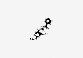 COc1ncc(NC(=S)NC(=O)c2ccccc2)c(OC)n1